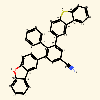 N#Cc1cc(-c2ccc3oc4ccccc4c3c2)c(-c2ccccc2)c(-c2ccc3sc4ccccc4c3c2)c1